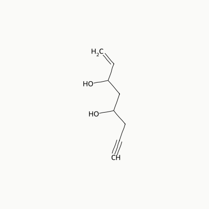 C#CCC(O)CC(O)C=C